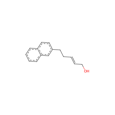 OCC=CCCc1ccc2ccccc2c1